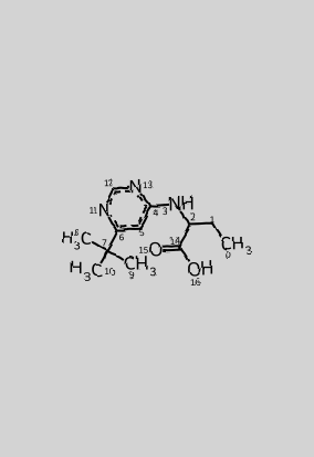 CCC(Nc1cc(C(C)(C)C)ncn1)C(=O)O